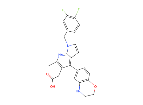 Cc1nc2c(ccn2Cc2ccc(F)c(F)c2)c(-c2ccc3c(c2)NCCO3)c1CC(=O)O